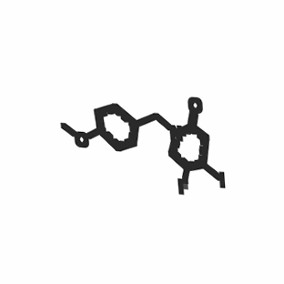 COc1ccc(Cn2cc(F)c(I)cc2=O)cc1